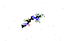 Cn1nc(C(F)(F)C(F)(F)F)c(C(F)(F)F)c1-n1cc(-c2cc(C(=O)NCC3CC3)c(Cl)s2)cn1